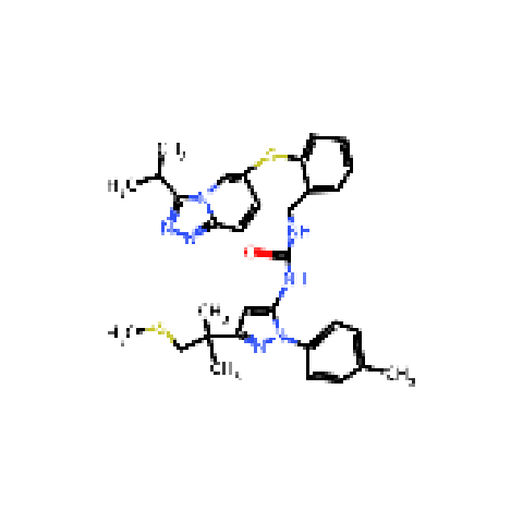 CSCC(C)(C)c1cc(NC(=O)NCc2ccccc2Sc2ccc3nnc(C(C)C)n3c2)n(-c2ccc(C)cc2)n1